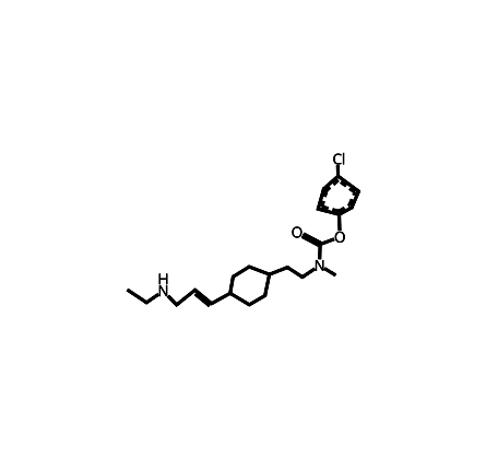 CCNCC=CC1CCC(CCN(C)C(=O)Oc2ccc(Cl)cc2)CC1